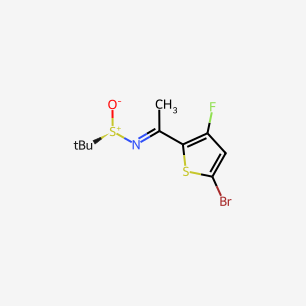 C/C(=N\[S@+]([O-])C(C)(C)C)c1sc(Br)cc1F